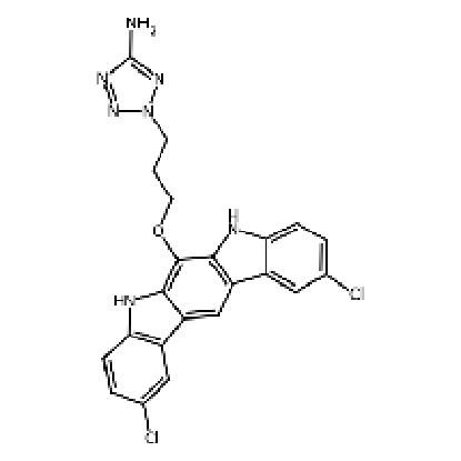 Nc1nnn(CCCOc2c3[nH]c4ccc(Cl)cc4c3cc3c2[nH]c2ccc(Cl)cc23)n1